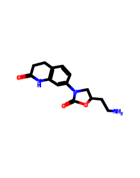 NCCC1CN(c2ccc3c(c2)NC(=O)CC3)C(=O)O1